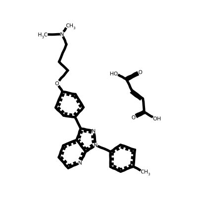 Cc1ccc(-n2nc(-c3ccc(OCCCN(C)C)cc3)c3cccnc32)cc1.O=C(O)C=CC(=O)O